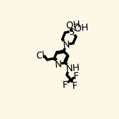 OS1(O)CCN(c2cc(CCl)nc(NCC(F)(F)F)c2)CC1